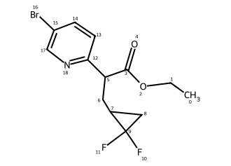 CCOC(=O)C(CC1CC1(F)F)c1ccc(Br)cn1